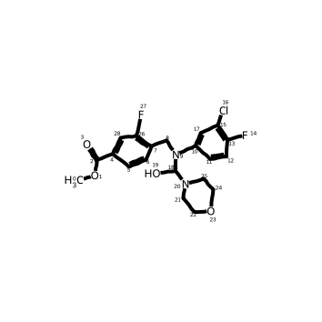 COC(=O)c1ccc(CN(c2ccc(F)c(Cl)c2)C(O)N2CCOCC2)c(F)c1